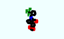 FC(F)(F)c1ccccc1CN1CC2(COc3cc4c(cc32)OCCO4)c2ccccc21